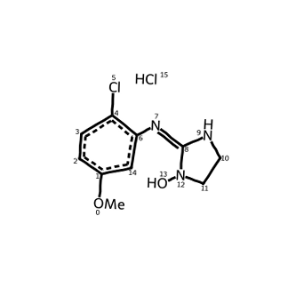 COc1ccc(Cl)c(N=C2NCCN2O)c1.Cl